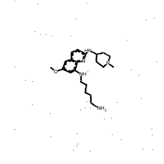 COc1cc(NCCCCCN)c2nc(NC3CCN(C)CC3)ccc2c1